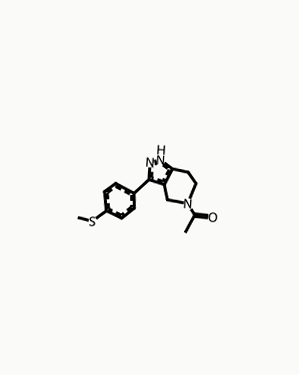 CSc1ccc(-c2n[nH]c3c2CN(C(C)=O)CC3)cc1